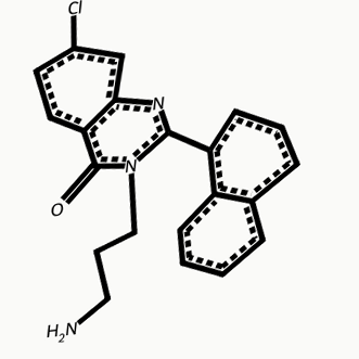 NCCCn1c(-c2cccc3ccccc23)nc2cc(Cl)ccc2c1=O